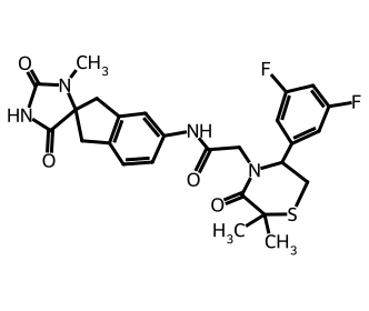 CN1C(=O)NC(=O)C12Cc1ccc(NC(=O)CN3C(=O)C(C)(C)SCC3c3cc(F)cc(F)c3)cc1C2